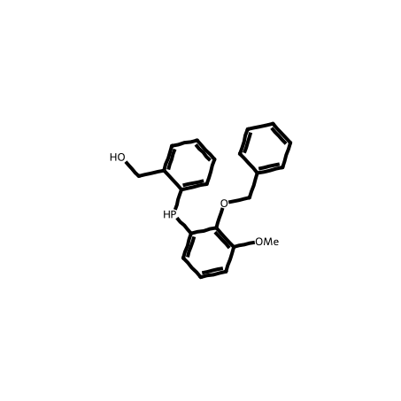 COc1cccc(Pc2ccccc2CO)c1OCc1ccccc1